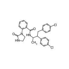 CC(NC(=O)c1ccccc1N1CCNC1=O)C(Cc1ccc(Cl)cc1)c1ccc(Cl)cc1